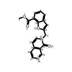 COC(=O)c1cccc2cc(Cn3ccc4ccncc4c3=O)oc12